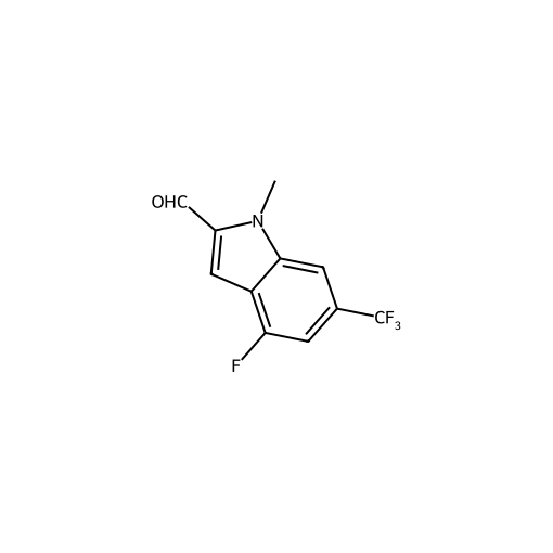 Cn1c(C=O)cc2c(F)cc(C(F)(F)F)cc21